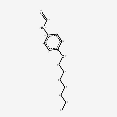 CCCCCCCOc1ccc(N[C]=O)cc1